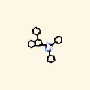 c1ccc(-c2nc(-c3ccccc3)nc(-c3cc(-c4ccccc4)c4ccccc4c3)n2)cc1